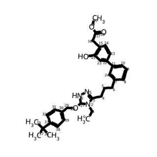 CCN1C(CCCc2cccc(-c3ccc(CC(=O)OC)c(O)c3)c2)=NNC1OCc1ccc(C(C)(C)C)cc1